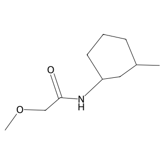 COCC(=O)NC1CCCC(C)C1